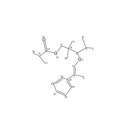 CC(=COC(C(C)C)C(C)(C)COC(=O)C(C)C)c1ccccc1